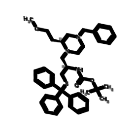 COCC[C@H]1CN(Cc2ccccc2)CCN1C[C@H](CSC(c1ccccc1)(c1ccccc1)c1ccccc1)NC(=O)OC(C)(C)C